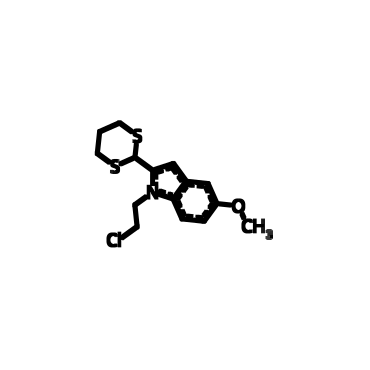 COc1ccc2c(c1)cc(C1SCCCS1)n2CCCl